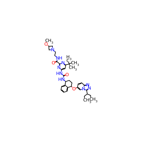 CCC(CC)c1nnc2ccc(OC3CCC(NC(=O)Nc4cc(C(C)(C)C)nc(C(=O)NCCN5CC(OC)C5)n4)c4ccccc43)cn12